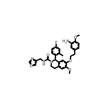 COc1ccc(CCOc2cc3c(cc2OC)CCN(C(=O)NCc2cocn2)C3c2ccc(F)cc2C)cc1N